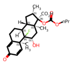 CCCOC(=O)O[C@]1(C(=O)O)[C@@H](C)C[C@H]2[C@@H]3CCC4=CC(=O)C=C[C@]4(C)[C@@]3(F)[C@@H](O)C[C@@]21C